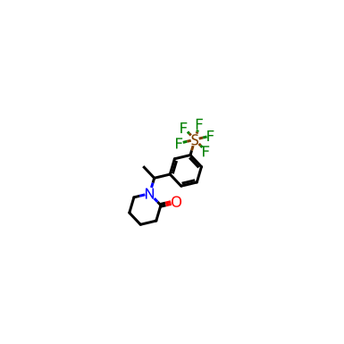 CC(c1cccc(S(F)(F)(F)(F)F)c1)N1CCCCC1=O